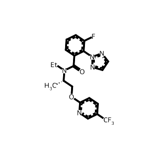 CCN(C(=O)c1cccc(F)c1-n1nccn1)[C@@H](C)COc1ccc(C(F)(F)F)cn1